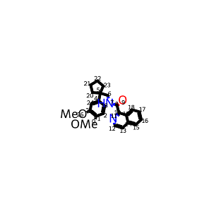 COc1ccc(C2(CNC(=O)c3nccc4ccccc34)CCCC2)cc1OC